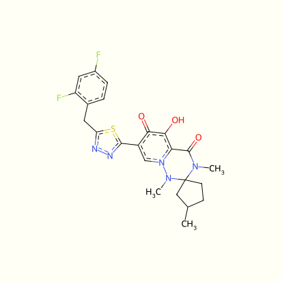 CC1CCC2(C1)N(C)C(=O)c1c(O)c(=O)c(-c3nnc(Cc4ccc(F)cc4F)s3)cn1N2C